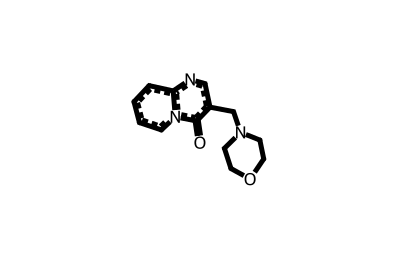 O=c1c(CN2CCOCC2)cnc2ccccn12